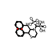 O=P(O)(O)C(N1CCSC(c2ccccc2)C1Cc1ccccc1)P(=O)(O)O